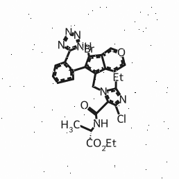 CCOC(=O)[C@H](C)NC(=O)c1c(Cl)nc(CC)n1Cc1c2ccocc-2c(Br)c1-c1ccccc1-c1nnn[nH]1